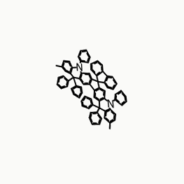 Cc1ccc2c(c1)C(c1ccccc1)(c1ccccc1)c1cc3c(cc1N2c1ccccc1)C1(c2ccccc2-c2ccccc21)c1cc2c(cc1-3)C(c1ccccc1)(c1ccccc1)c1cc(C)ccc1N2c1ccccc1